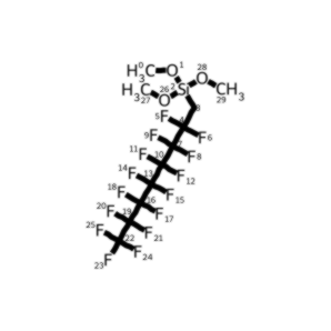 CO[Si](CC(F)(F)C(F)(F)C(F)(F)C(F)(F)C(F)(F)C(F)(F)C(F)(F)F)(OC)OC